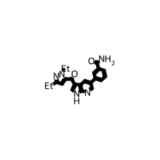 CCc1cc(C(=O)c2c[nH]c3ncc(-c4cccc(C(N)=O)c4)cc23)n(CC)n1